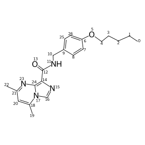 CCCCCOc1ccc(CNC(=O)c2ncn3c(C)cc(C)nc23)cc1